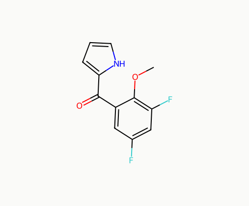 COc1c(F)cc(F)cc1C(=O)c1ccc[nH]1